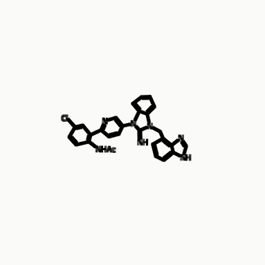 CC(=O)Nc1ccc(Cl)cc1-c1ccc(-n2c(=N)n(Cc3cccc4[nH]cnc34)c3ccccc32)cn1